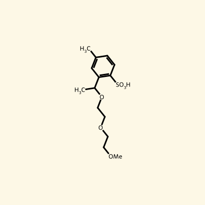 COCCOCCOC(C)c1cc(C)ccc1S(=O)(=O)O